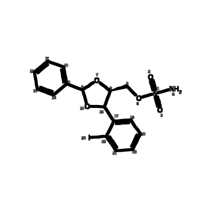 NS(=O)(=O)OC[C@@H]1OC(c2ccccc2)OC1c1ccccc1I